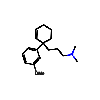 COc1cccc(C2(CCCN(C)C)C=CCCC2)c1